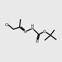 C/C(CCl)=N\NC(=O)OC(C)(C)C